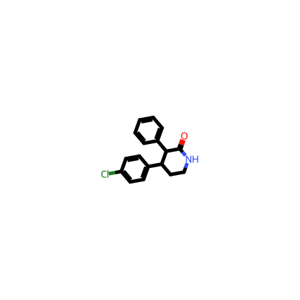 O=C1NCCC(c2ccc(Cl)cc2)C1c1ccccc1